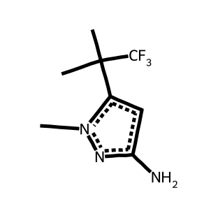 Cn1nc(N)cc1C(C)(C)C(F)(F)F